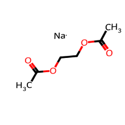 CC(=O)OCCOC(C)=O.[Na]